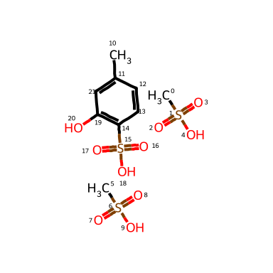 CS(=O)(=O)O.CS(=O)(=O)O.Cc1ccc(S(=O)(=O)O)c(O)c1